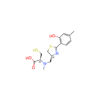 Cc1ccc(C2=N[C@@H](CN(C)[C@H](CS)C(=O)O)CS2)c(O)c1